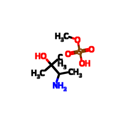 CC(N)C(C)(C)O.COS(=O)(=O)O